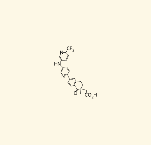 CC1(CC(=O)O)CCc2cc(-c3ccc(Nc4ccc(C(F)(F)F)nc4)cn3)ccc2C1=O